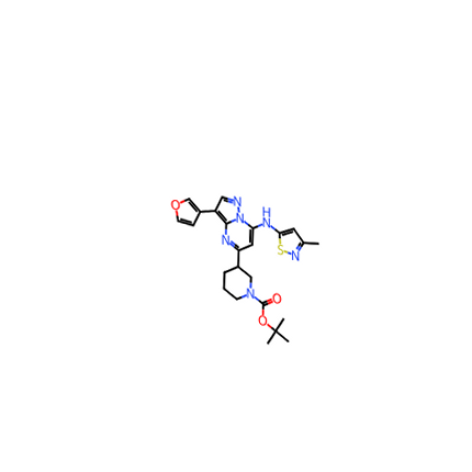 Cc1cc(Nc2cc(C3CCCN(C(=O)OC(C)(C)C)C3)nc3c(-c4ccoc4)cnn23)sn1